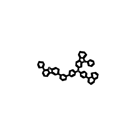 c1ccc(-c2cccc3c2oc2ccc(-c4cccc(-c5ccc(N(c6ccc(-c7cccc8ccccc78)cc6)c6ccc7c8ccccc8n(-c8ccccc8)c7c6)cc5)c4)cc23)cc1